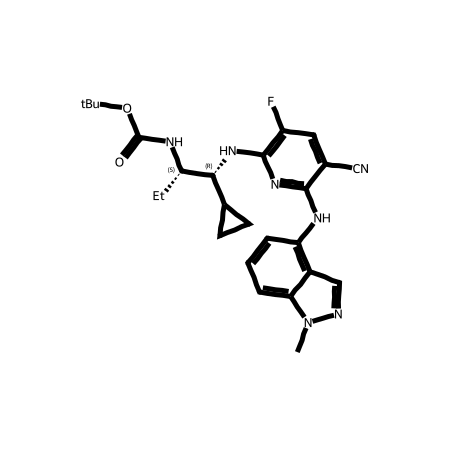 CC[C@H](NC(=O)OC(C)(C)C)[C@H](Nc1nc(Nc2cccc3c2cnn3C)c(C#N)cc1F)C1CC1